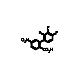 O=C(O)c1ccc([N+](=O)[O-])cc1-c1ccc(F)c(F)c1F